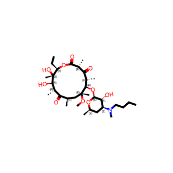 CCCCN(C)[C@H]1C[C@@H](C)O[C@@H](O[C@@H]2[C@@H](C)C(=O)[C@@H](C)C(=O)O[C@H](CC)[C@@](C)(O)[C@H](O)[C@@H](C)C(=O)[C@H](C)C[C@@]2(C)OC)[C@@H]1O